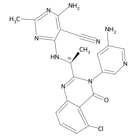 Cc1nc(N)c(C#N)c(N[C@@H](C)c2nc3cccc(Cl)c3c(=O)n2-c2cncc(N)c2)n1